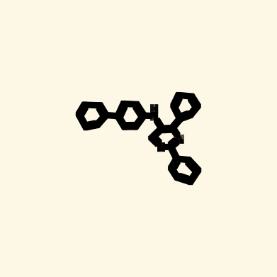 c1ccc(-c2ccc(Nc3cnc(-c4ccccc4)nc3-c3ccccc3)cc2)cc1